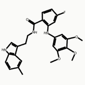 COc1cc(Nc2cc(F)ccc2C(=O)NCCc2c[nH]c3ccc(C)cc23)cc(OC)c1OC